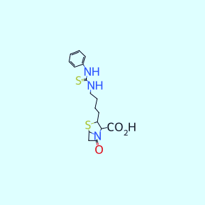 O=C(O)C1C(CCCCNC(=S)Nc2ccccc2)SC2CC(=O)N21